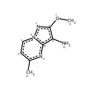 COc1nn2ccc(C)nc2c1N